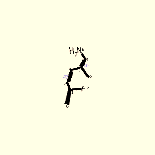 C=C(F)/C=C\C(C)=C/N